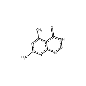 Cc1cc(N)nc2nc[nH]c(=O)c12